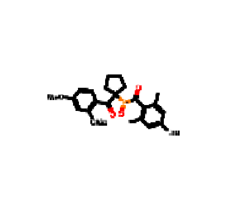 COc1ccc(C(=O)C2([P](=O)C(=O)c3c(C)cc(C(C)(C)C)cc3C)CCCC2)c(OC)c1